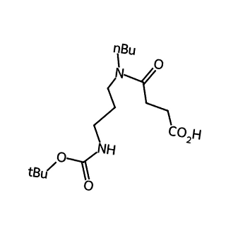 CCCCN(CCCNC(=O)OC(C)(C)C)C(=O)CCC(=O)O